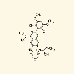 C=CC(O)N[C@H]1COC[C@H]1Nc1ncc2cc(-c3c(Cl)c(OC)cc(OC)c3Cl)nc(C(C)C)c2n1